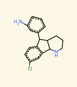 Nc1cccc(C2c3ccc(Cl)cc3C3NCCCC32)c1